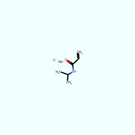 C=CC(=O)NC(C)C.[Cl-].[Na+]